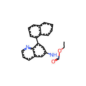 CCOC=O.Nc1cc(-c2cccc3ccccc23)c2ncccc2c1